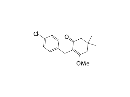 COC1=C(Cc2ccc(Cl)cc2)C(=O)CC(C)(C)C1